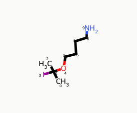 CC(C)(I)OCCCCN